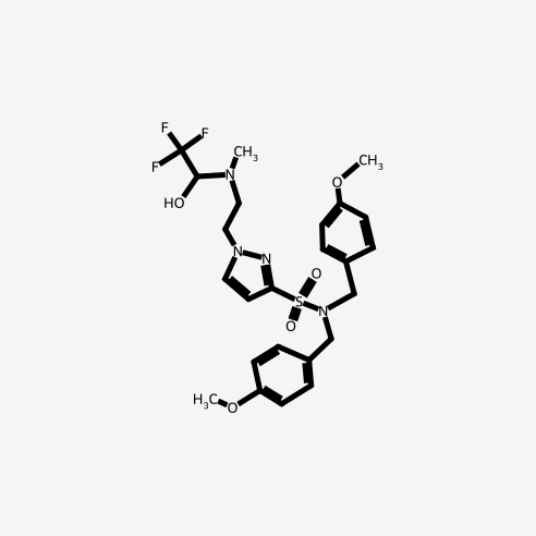 COc1ccc(CN(Cc2ccc(OC)cc2)S(=O)(=O)c2ccn(CCN(C)C(O)C(F)(F)F)n2)cc1